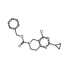 O=C(OCc1ccccc1)N1CCc2nc(C3CC3)nc(Cl)c2C1